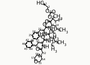 C#CCOC(=O)OC(C)(CI)C(=O)C(CC(C)C)NC(=O)C(Cc1ccccc1)NC(=O)C(CC(C)C)NC(=O)C(CCc1ccccc1)NC(=O)CN1CCOCC1